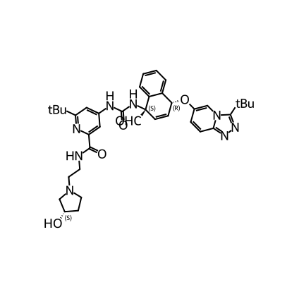 CC(C)(C)c1cc(NC(=O)N[C@@]2(C=O)C=C[C@@H](Oc3ccc4nnc(C(C)(C)C)n4c3)c3ccccc32)cc(C(=O)NCCN2CC[C@H](O)C2)n1